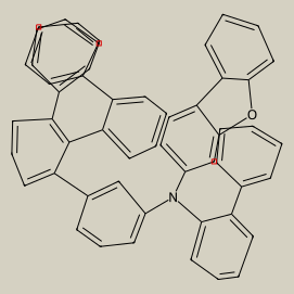 c1ccc(-c2ccccc2-c2c(-c3ccccc3)cccc2-c2cccc(N(c3ccc4c(c3)oc3ccccc34)c3ccccc3-c3ccccc3)c2)cc1